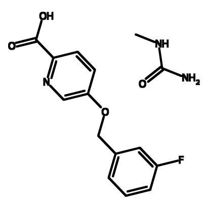 CNC(N)=O.O=C(O)c1ccc(OCc2cccc(F)c2)cn1